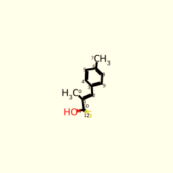 C/C(=C\c1ccc(C)cc1)C(O)=S